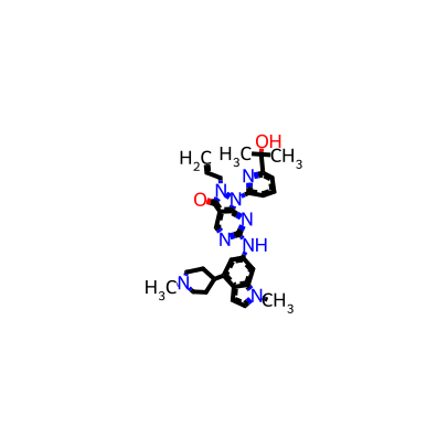 C=CCn1c(=O)c2cnc(Nc3cc(C4CCN(C)CC4)c4ccn(C)c4c3)nc2n1-c1cccc(C(C)(C)O)n1